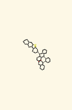 c1ccc(-c2c3ccccc3c(-c3ccc4c(c3)sc3cc5ccccc5cc34)c3ccccc23)c(-c2cccc3ccccc23)c1